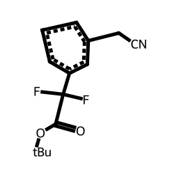 CC(C)(C)OC(=O)C(F)(F)c1cccc(CC#N)c1